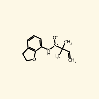 C=CC(C)(C)[S+]([O-])Nc1cccc2c1OCC2